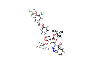 CC(C)(C)OC(=O)C(CCn1nnc2ccccc2c1=O)(CC(=O)c1ccc(OCc2ccc(OC(F)(F)F)c(Cl)c2)cc1)C(=O)OC(C)(C)C